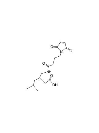 CC(C)CC(CNC(=O)CCCN1C(=O)C=CC1=O)CC(=O)O